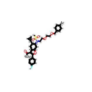 CNC(=O)c1c(-c2ccc(F)cc2)oc2cc(N(CCOCCOCc3ccc(C(C)=O)cc3)S(C)(=O)=O)c(C3CC3)cc12